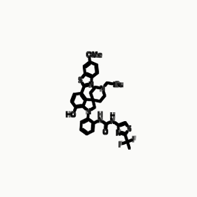 COc1ccc2nc(-c3ccc(O)c4c3C3(CCN(CC(C)(C)C)CC3)CN4c3ccccc3NC(=O)Nc3csc(C(C)(F)F)n3)sc2c1